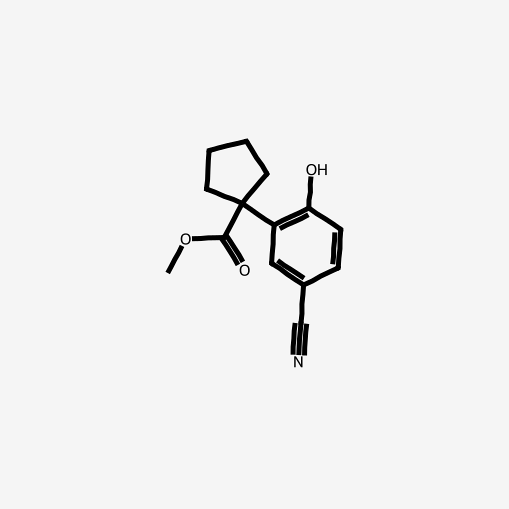 COC(=O)C1(c2cc(C#N)ccc2O)CCCC1